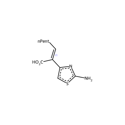 CCCCC/C=C(\C(=O)O)c1csc(N)n1